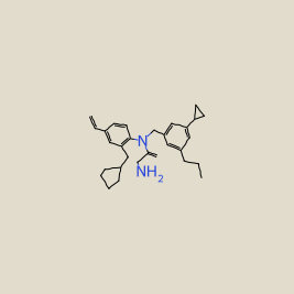 C=Cc1ccc(N(Cc2cc(CCC)cc(C3CC3)c2)C(=C)CN)c(CC2CCCC2)c1